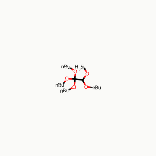 CCCCOC(O[SiH3])C(OCCCC)(OCCCC)OCCCC